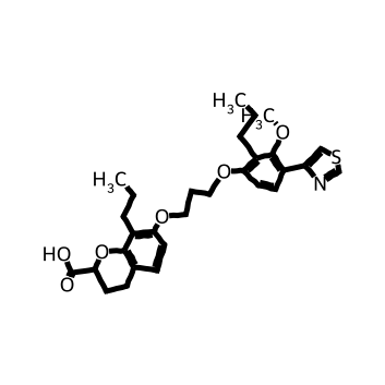 CCCc1c(OCCCOc2ccc(-c3cscn3)c(OC)c2CCC)ccc2c1OC(C(=O)O)CC2